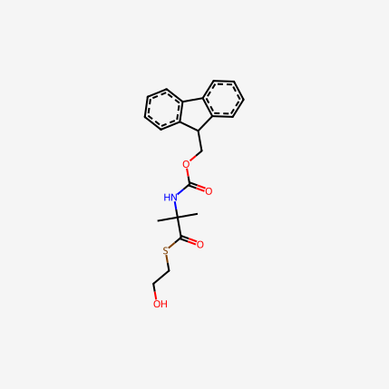 CC(C)(NC(=O)OCC1c2ccccc2-c2ccccc21)C(=O)SCCO